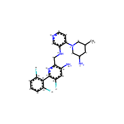 CC1CC(N)CN(c2ccncc2NCc2nc(-c3c(F)cccc3F)c(F)cc2N)C1